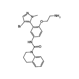 Cn1ncc(Br)c1-c1cc(NC(=O)N2CCCc3ccccc32)ccc1OCCN